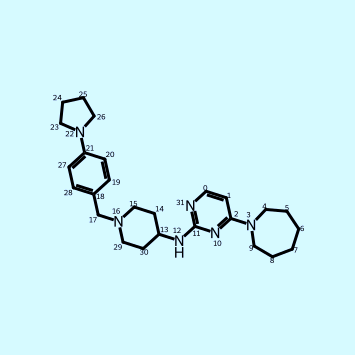 c1cc(N2CCCCCC2)nc(NC2CCN(Cc3ccc(N4CCCC4)cc3)CC2)n1